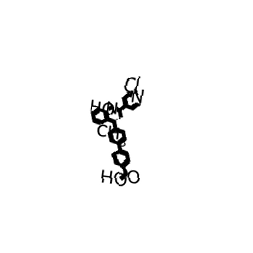 Cc1ccccc1[C@H](C/C(=N\O)c1ccnc(Cl)c1)c1ccc(-c2ccc(C(=O)O)cc2)cc1